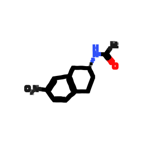 CCC(=O)N[C@@H]1CCc2ccc([N+](=O)[O-])cc2C1